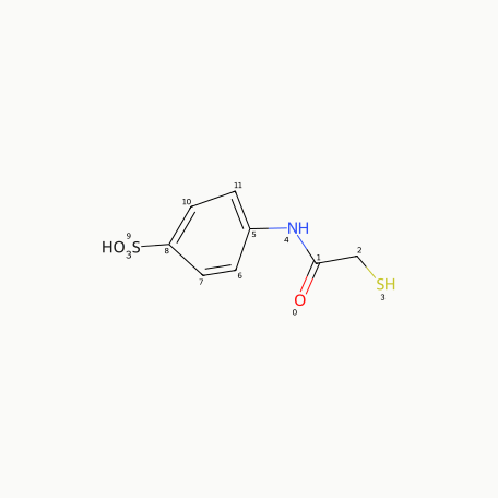 O=C(CS)Nc1ccc(S(=O)(=O)O)cc1